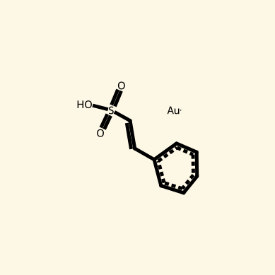 O=S(=O)(O)C=Cc1ccccc1.[Au]